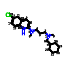 CN(CCCN(C)C1=CC=C2CC(Cl)=CC=C2N1)CC1CCCCC1